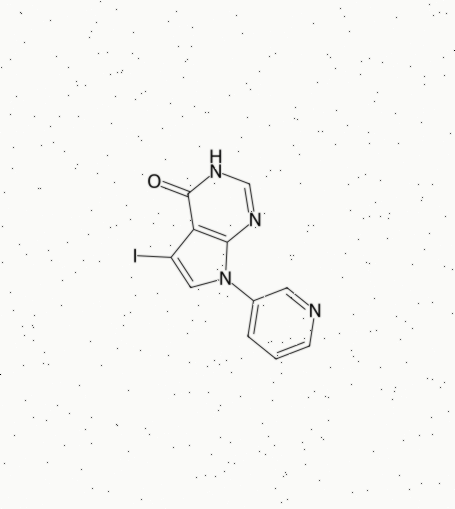 O=c1[nH]cnc2c1c(I)cn2-c1cccnc1